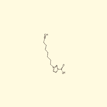 C#CCCCCCCCn1ccc(C(=O)O)n1